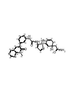 [3H]C1(CC(N)=O)C=C([N+]2(CCCC)N=CC=C2NC(=O)Nc2cccc(-c3cc4cncnc4n(C)c3=O)c2)C=CC1